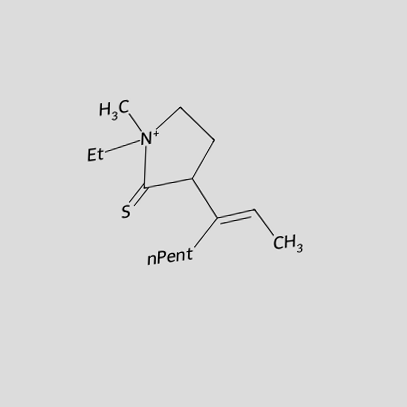 CC=C(CCCCC)C1CC[N+](C)(CC)C1=S